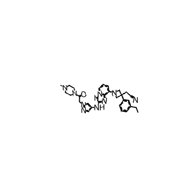 CCc1cccc(C2(CC#N)CN(c3cccn4nc(Nc5cnn(CC(=O)N6CCN(C)CC6)c5)nc34)C2)c1